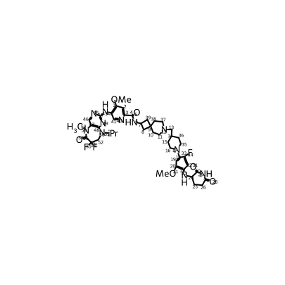 COc1cc(C(=O)NC2CC3(CCN(CC4CCN(c5cc(OC)c(NC6CCC(=O)NC6=O)cc5F)CC4)CC3)C2)ncc1Nc1ncc2c(n1)N(C(C)C)CC(F)(F)C(=O)N2C